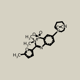 Cc1ccc(C2=Nc3ccc(N4CCN5CCC4CC5)cc3S(=O)(=O)[N+]2(C)C)o1